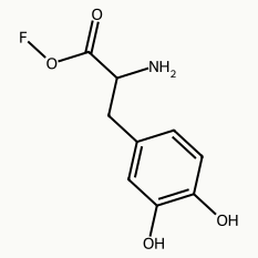 NC(Cc1ccc(O)c(O)c1)C(=O)OF